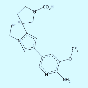 Nc1ncc(-c2cc3n(n2)CC[C@@]32CCN(C(=O)O)C2)cc1OC(F)(F)F